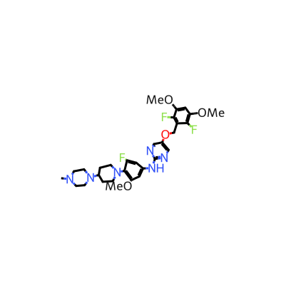 COc1cc(OC)c(F)c(COc2cnc(Nc3cc(F)c(N4CCC(N5CCN(C)CC5)CC4)c(OC)c3)nc2)c1F